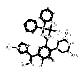 C[C@@H]1CN(c2c(CO[Si](c3ccccc3)(c3ccccc3)C(C)(C)C)cc(/C(=N/O)c3cn(C)cn3)c(F)c2F)C[C@H](C)O1